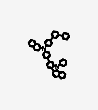 c1ccc(-c2cccc(-c3ccc(N(c4ccc(-c5ccc6c7ccc8ccccc8c7n(-c7ccccc7)c6c5)cc4)c4ccc5ccccc5c4)cc3)c2)cc1